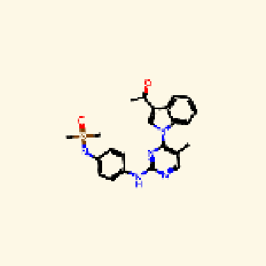 CC(=O)c1cn(-c2nc(Nc3ccc(N=S(C)(C)=O)cc3)ncc2C)c2ccccc12